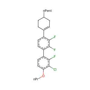 CCCCCC1CC=C(c2ccc(-c3ccc(OCCC)c(Cl)c3F)c(F)c2F)CC1